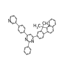 CC1(C)c2cc(-c3cc(-c4ccc(-c5cccnc5)cc4)nc(-c4ccccc4)n3)ccc2-c2ccc3ccccc3c21